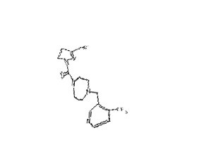 CC(=O)c1ccn(C(=O)N2CCN(Cc3cnccc3C(F)(F)F)CC2)n1